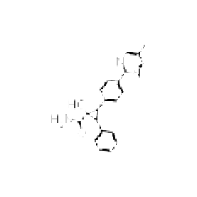 Cc1cnc(-c2ccc(C3C(c4ccccc4)C3(O)C(N)=O)cc2)nc1